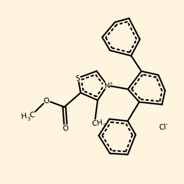 COC(=O)c1sc[n+](-c2c(-c3ccccc3)cccc2-c2ccccc2)c1C.[Cl-]